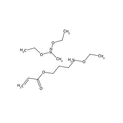 C=CC(=O)OCCC[SiH2]OCC.CCO[SiH](C)OCC